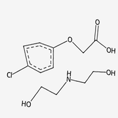 O=C(O)COc1ccc(Cl)cc1.OCCNCCO